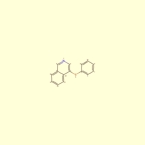 c1ccc(Sc2cncc3ccccc23)cc1